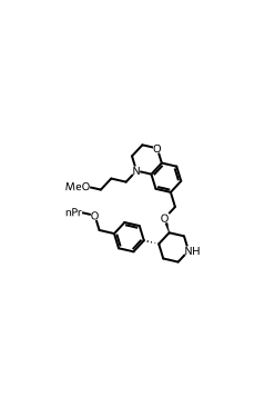 CCCOCc1ccc([C@H]2CCNC[C@@H]2OCc2ccc3c(c2)N(CCCOC)CCO3)cc1